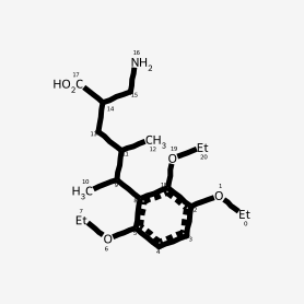 CCOc1ccc(OCC)c(C(C)C(C)CC(CN)C(=O)O)c1OCC